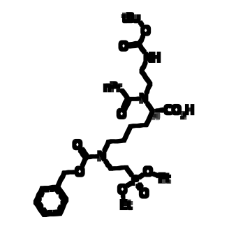 CCCC(=O)N(CCNC(=O)OC(C)(C)C)[C@H](CCCCN(CCP(=O)(OCC)OCC)C(=O)OCc1ccccc1)C(=O)O